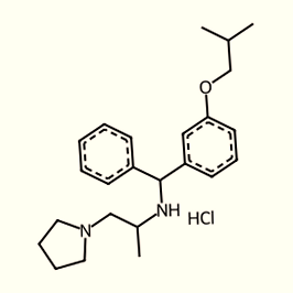 CC(C)COc1cccc(C(NC(C)CN2CCCC2)c2ccccc2)c1.Cl